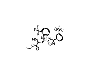 CCOC(=O)C(=N)/C=C(\Nc1ccccc1C(F)(F)F)c1nc(-c2cccc(S(C)(=O)=O)c2)no1